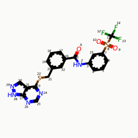 O=C(Nc1cccc(S(=O)(=O)C(F)(F)F)c1)c1cccc(CSc2ncnc3[nH]ncc23)c1